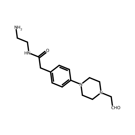 NCCNC(=O)Cc1ccc(N2CCN(CC=O)CC2)cc1